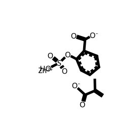 C=C(C)C(=O)[O-].O=C([O-])c1ccccc1OS(=O)(=O)O.[Zn+2]